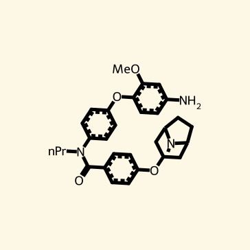 CCCN(C(=O)c1ccc(OC2CC3CCC(C2)N3C)cc1)c1ccc(Oc2ccc(N)cc2OC)cc1